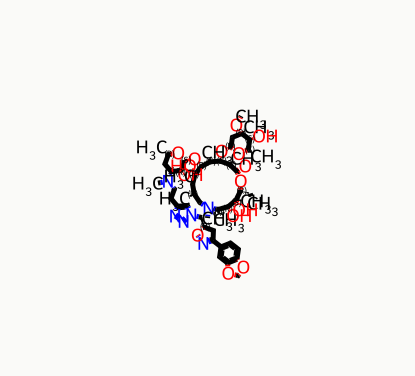 CC[C@H]1OC(=O)[C@H](C)[C@@H](O[C@H]2C[C@@](C)(OC)[C@@H](O)[C@H](C)O2)[C@H](C)[C@@H](O[C@@H]2O[C@H](C)C[C@H](N(C)CCc3cn(C[C@H]4CC(c5ccc6c(c5)OCO6)=NO4)nn3)[C@H]2O)[C@](C)(O)C[C@@H](C)CN(C)[C@H](C)[C@@H](O)[C@]1(C)O